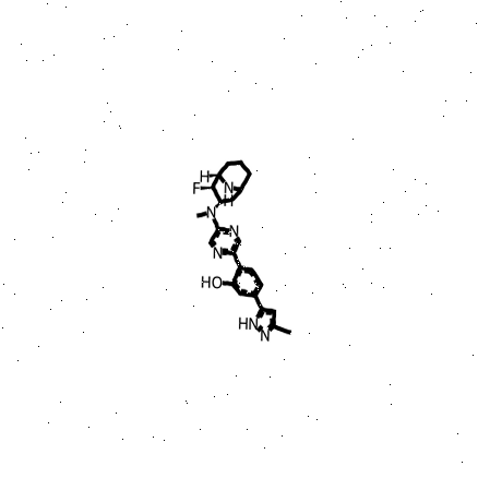 Cc1cc(-c2ccc(-c3cnc(N(C)[C@@H]4CC5CCC[C@H](N5)[C@@H]4F)cn3)c(O)c2)[nH]n1